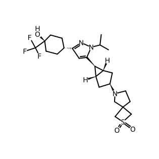 CC(C)n1nc([C@H]2CC[C@@](O)(C(F)(F)F)CC2)cc1[C@H]1[C@@H]2C[C@@H](N3CCC4(C3)CS(=O)(=O)C4)C[C@@H]21